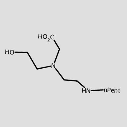 CCCCCNCCN(CCO)CC(=O)O